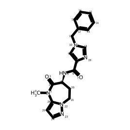 CN1C(=O)[C@@H](NC(=O)c2cn(Cc3ccccc3)cn2)CCn2nccc21